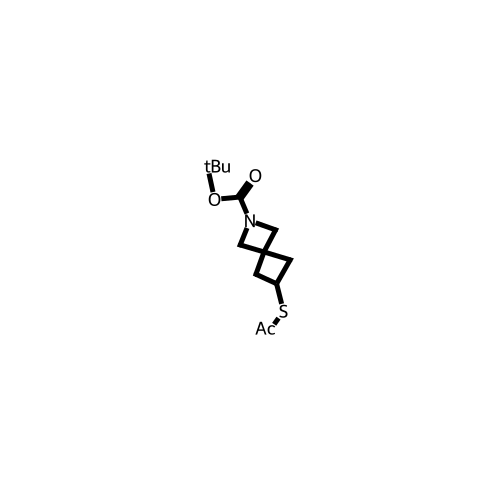 CC(=O)SC1CC2(C1)CN(C(=O)OC(C)(C)C)C2